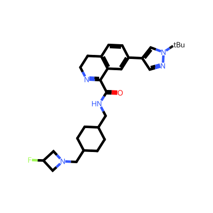 CC(C)(C)n1cc(-c2ccc3c(c2)C(C(=O)NCC2CCC(CN4CC(F)C4)CC2)=NCC3)cn1